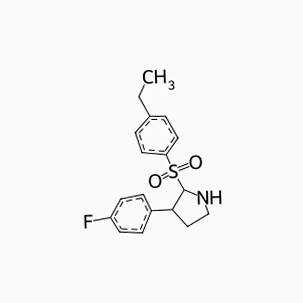 CCc1ccc(S(=O)(=O)C2NCCC2c2ccc(F)cc2)cc1